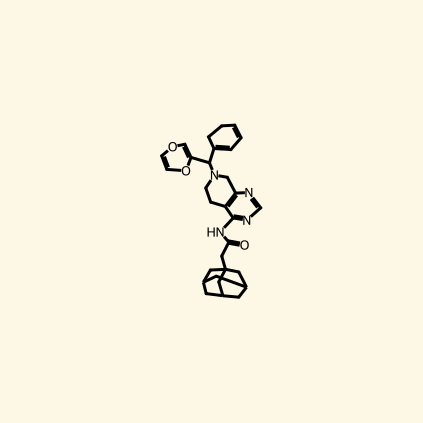 O=C(CC12CC3CC(CC(C3)C1)C2)Nc1ncnc2c1CCN(C(C1=CC=CCC1)C1=COC=CO1)C2